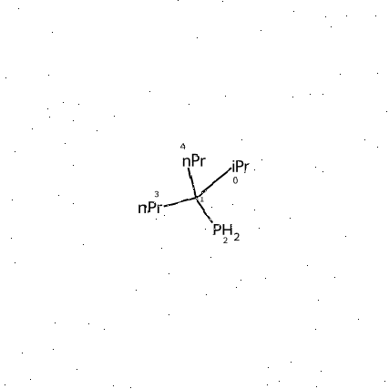 [CH2]C(C)C(P)(CCC)CCC